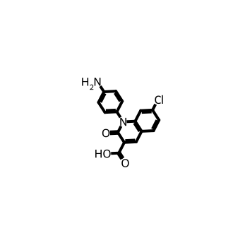 Nc1ccc(-n2c(=O)c(C(=O)O)cc3ccc(Cl)cc32)cc1